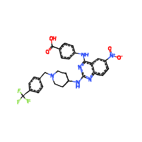 O=C(O)c1ccc(Nc2nc(NC3CCN(Cc4ccc(C(F)(F)F)cc4)CC3)nc3ccc([N+](=O)[O-])cc23)cc1